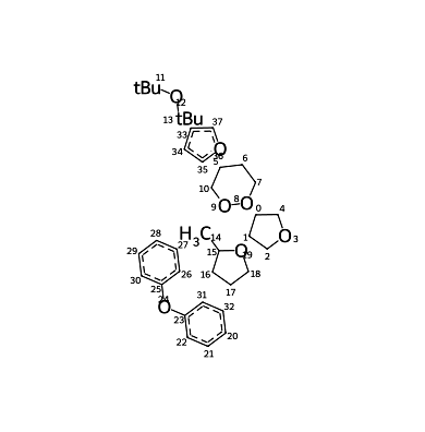 C1CCOC1.C1CCOOC1.CC(C)(C)OC(C)(C)C.CC1CCCO1.c1ccc(Oc2ccccc2)cc1.c1ccoc1